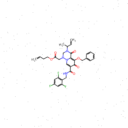 C=CCCOC(=O)CN1CN(C(C)C=C)C(=O)c2c(OCc3ccccc3)c(=O)c(C(=O)NCc3c(F)cc(F)cc3F)cn21